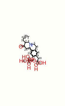 CC(C)CC1CN2CCc3cc(CC(O)(O)O)c(OC(O)(O)O)cc3C2CC1=O